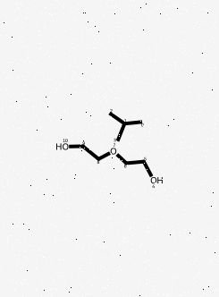 CC(C)C.OCCOCCO